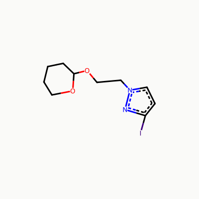 Ic1ccn(CCOC2CCCCO2)n1